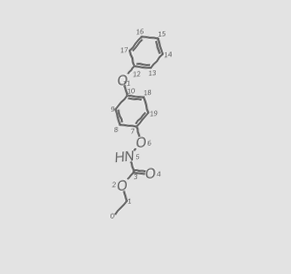 CCOC(=O)NOc1ccc(Oc2ccccc2)cc1